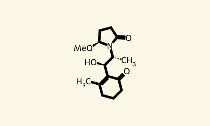 CO[C@H]1CCC(=O)N1[C@H](C)[C@H](O)C1=C(C)CCCC1=O